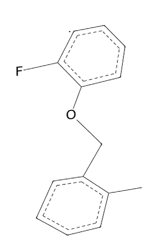 Cc1ccccc1COc1ccc[c]c1F